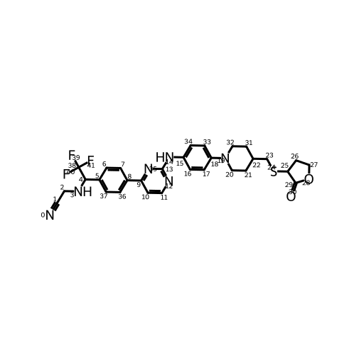 N#CCNC(c1ccc(-c2ccnc(Nc3ccc(N4CCC(CSC5CCOC5=O)CC4)cc3)n2)cc1)C(F)(F)F